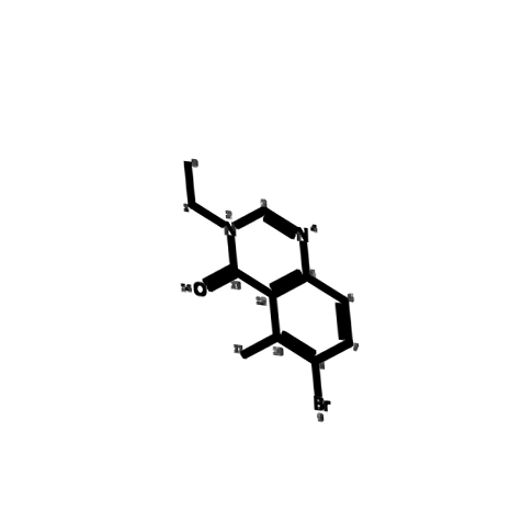 CCn1cnc2ccc(Br)c(C)c2c1=O